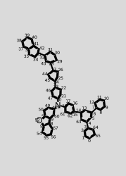 c1ccc(-c2cc(-c3ccccc3)cc(-c3ccc(N(c4ccc(-c5ccc(-c6cccc(-c7ccc8ccccc8c7)c6)cc5)cc4)c4ccc5oc6ccccc6c5c4)cc3)c2)cc1